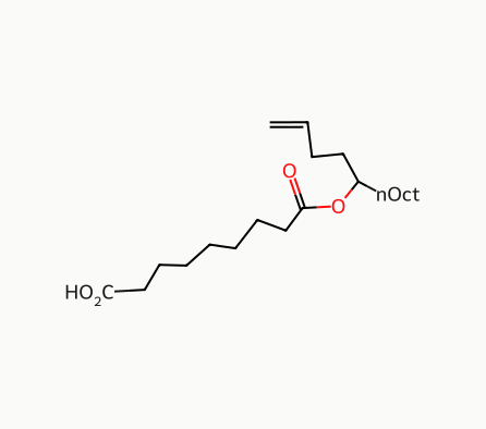 C=CCCC(CCCCCCCC)OC(=O)CCCCCCCC(=O)O